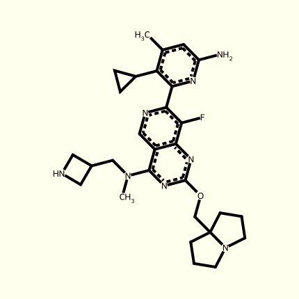 Cc1cc(N)nc(-c2ncc3c(N(C)CC4CNC4)nc(OCC45CCCN4CCC5)nc3c2F)c1C1CC1